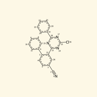 N#Cc1ccc(-c2ccccc2)c(-c2nc(Cl)nc(-c3ccccc3)n2)c1